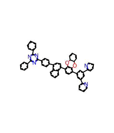 C1=CC2Oc3c(-c4cc(-c5ccccn5)cc(-c5ccccn5)c4)ccc(-c4ccc(-c5ccc(-c6nc(-c7ccccc7)nc(-c7ccccc7)n6)cc5)c5ccccc45)c3OC2C=C1